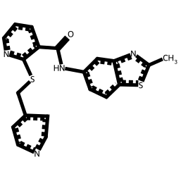 Cc1nc2cc(NC(=O)c3cccnc3SCc3ccncc3)ccc2s1